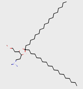 CCCCCCCCCCCCCCCCCCC1(CCCCCCCCCCCCCCCCCC)OC(CCOC)C(CCN(C)C)O1